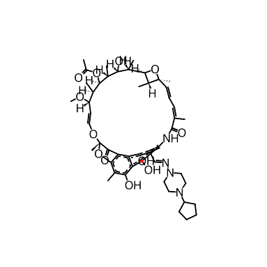 CO[C@H]1/C=C/O[C@@]2(C)Oc3c(C)c(O)c4c(O)c(c(/C=N/N5CCN(C6CCCC6)CC5)c(O)c4c3C2=O)NC(=O)/C(C)=C\C=C\[C@]2(C)O[C@H]([C@@H](C)[C@@H](O)[C@@H](C)[C@H](OC(C)=O)[C@@H]1C)[C@H]2C